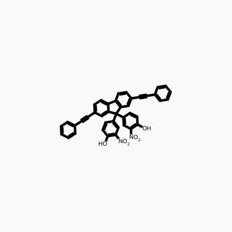 O=[N+]([O-])c1cc(C2(c3ccc(O)c([N+](=O)[O-])c3)c3cc(C#Cc4ccccc4)ccc3-c3ccc(C#Cc4ccccc4)cc32)ccc1O